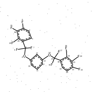 Fc1ccc(C(F)(F)Oc2cccc(OC(F)(F)c3ccc(F)c(F)c3F)c2)c(F)c1F